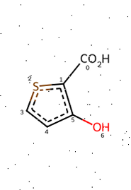 O=C(O)c1sccc1O